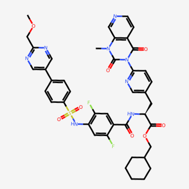 COCc1ncc(-c2ccc(S(=O)(=O)Nc3cc(F)c(C(=O)N[C@@H](Cc4ccc(-n5c(=O)c6ccncc6n(C)c5=O)nc4)C(=O)OCC4CCCCC4)cc3F)cc2)cn1